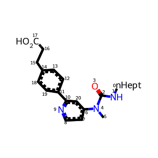 CCCCCCCNC(=O)N(C)c1ccnc(-c2ccc(CCC(=O)O)cc2)c1